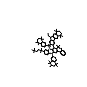 CCC1c2cc(Nc3ccc4c(c3)C(C)(C)CCC4(C)C)c(-c3c4c(cc(-c5ccccc5C)c3C(C)(C)C)N(C3=CC5=C(CC3)C(C)(C)CC(C)C5(C)C)c3ccc(C(C)(C)CCC(C)(C)C)cc3B4)cc2-c2cc3c(cc21)C(C)(C)CCC3(C)C